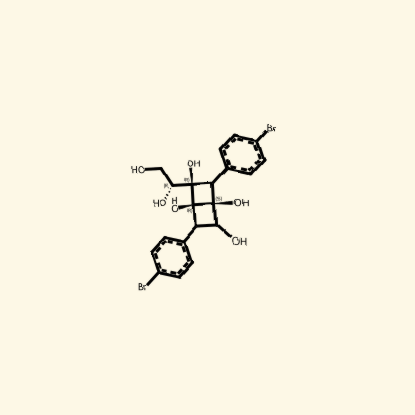 OC[C@@H](O)[C@]1(O)C(c2ccc(Br)cc2)[C@]2(O)C(O)C(c3ccc(Br)cc3)[C@@]21O